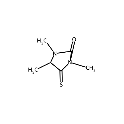 CC1C(=S)N(C)C(=O)N1C